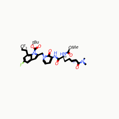 COC(=O)N[C@@H](CC/C=C/C(=O)N(C)C)C(=O)Nc1cccn(Cc2cc3cc(F)cc(CCC(F)(F)F)c3n2C(=O)OC(C)(C)C)c1=O